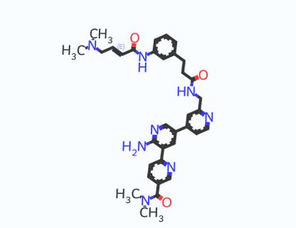 CN(C)C/C=C/C(=O)Nc1cccc(CCC(=O)NCc2cc(-c3cnc(N)c(-c4ccc(C(=O)N(C)C)cn4)c3)ccn2)c1